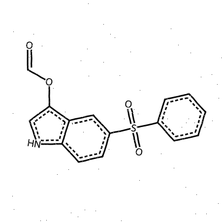 O=COc1c[nH]c2ccc(S(=O)(=O)c3ccccc3)cc12